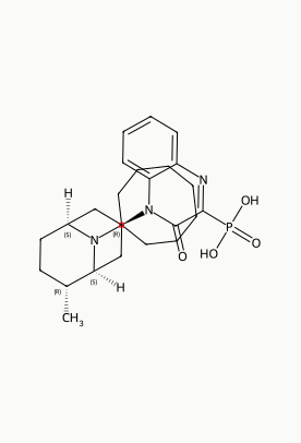 C[C@@H]1CC[C@H]2C[C@@H](n3c(=O)c(P(=O)(O)O)nc4ccccc43)C[C@@H]1N2C1CCCCCCC1